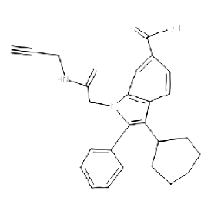 C#CCNC(=O)Cn1c(-c2ccccc2)c(C2CCCCC2)c2ccc(C(=O)O)cc21